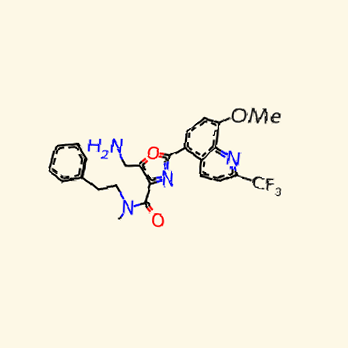 COc1ccc(-c2nc(C(=O)N(C)CCc3ccccc3)c(CN)o2)c2ccc(C(F)(F)F)nc12